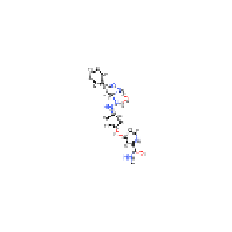 CNC(=O)c1cc(Oc2ccc(NN(C=O)c3cc(-c4ccccc4)nn3C)cc2)ccn1